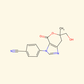 CC1(CO)Cc2ncn(-c3ccc(C#N)cc3)c2C(=O)O1